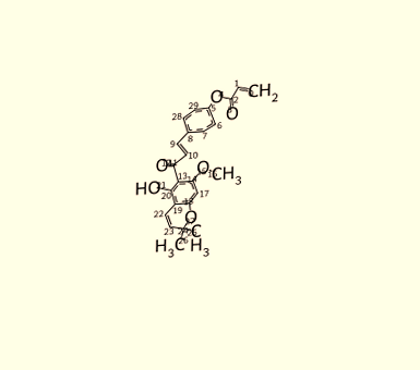 C=CC(=O)Oc1ccc(C=CC(=O)c2c(OC)cc3c(c2O)C=CC(C)(C)O3)cc1